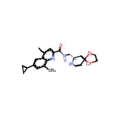 Cc1cc(C(=O)NC[C@@H]2CC3(CCN2)OCCO3)nc2c(C(C)(C)C)cc(C3CC3)cc12